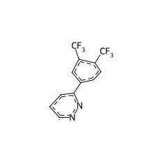 FC(F)(F)c1ccc(-c2cc[c]nn2)cc1C(F)(F)F